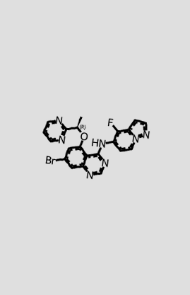 C[C@@H](Oc1cc(Br)cc2ncnc(Nc3ccn4nccc4c3F)c12)c1ncccn1